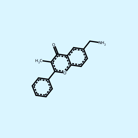 Cc1c(-c2ccccc2)oc2ccc(CN)cc2c1=O